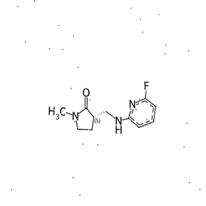 CN1CC[C@@H](CNc2cccc(F)n2)C1=O